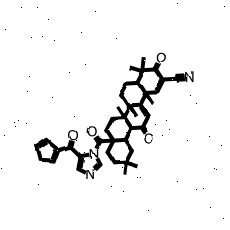 CC1(C)CCC2(C(=O)n3cncc3C(=O)C3=CCC=C3)CCC3(C)C(C(=O)C=C4C5(C)C=C(C#N)C(=O)C(C)(C)C5CCC43C)C2C1